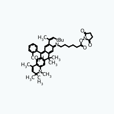 CC1=CC(C)(C)N(C)c2cc3c(cc21)C(c1ccccc1C(=O)O)=C1C=C(/C(C)=C\C(C)(C)C)/C(=N/CCCCCC(=O)ON2C(=O)CCC2=O)C=C1C3(C)C